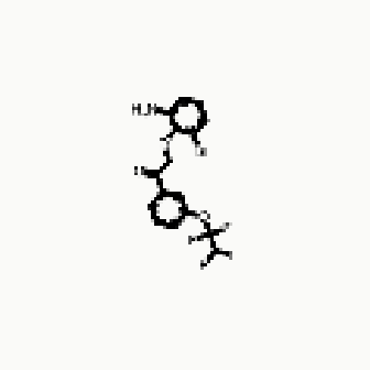 Nc1cccc(Br)c1OCC(=O)c1cccc(OC(F)(F)C(F)F)c1